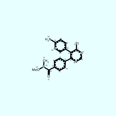 CCc1ncnc(-c2ccc(C(=O)N(C)OC)cc2)c1-c1ccc(N)nc1